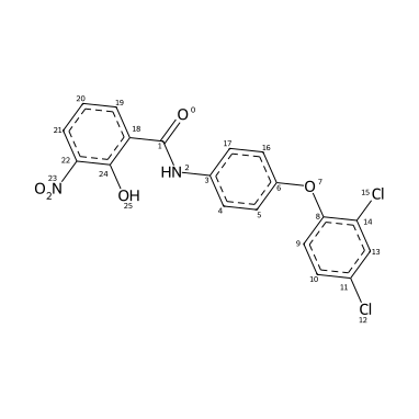 O=C(Nc1ccc(Oc2ccc(Cl)cc2Cl)cc1)c1cccc([N+](=O)[O-])c1O